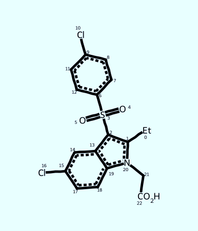 CCc1c(S(=O)(=O)c2ccc(Cl)cc2)c2cc(Cl)ccc2n1CC(=O)O